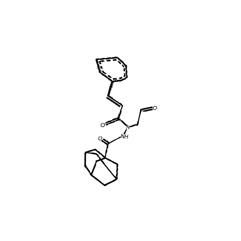 O=[C]CN(NC(=O)C12CC3CC(CC(C3)C1)C2)C(=O)C=Cc1ccccc1